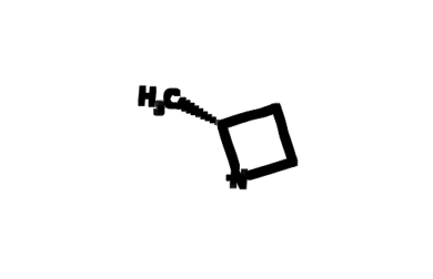 C[C@@H]1CC[N]1